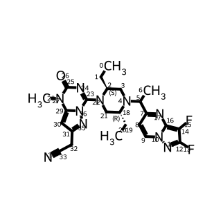 CC[C@H]1CN(C(C)c2ccn3nc(F)c(F)c3n2)[C@H](CC)CN1c1nc(=O)n(C)c2cc(CC#N)nn12